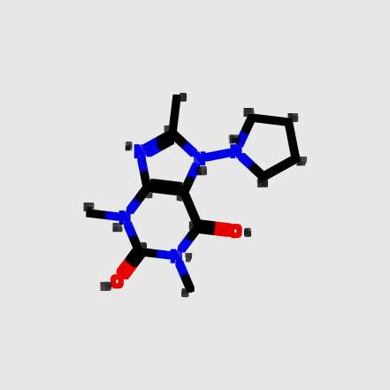 Cc1nc2c(c(=O)n(C)c(=O)n2C)n1N1CCCC1